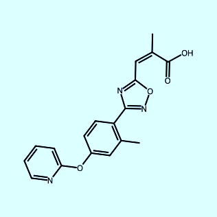 CC(=Cc1nc(-c2ccc(Oc3ccccn3)cc2C)no1)C(=O)O